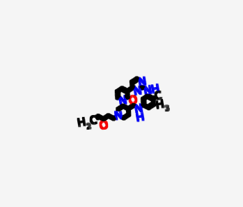 C=CC(=O)CCN1CCC(C(=O)Nc2ccc(C)c(Nc3nccc(-c4cccnc4)n3)c2)CC1